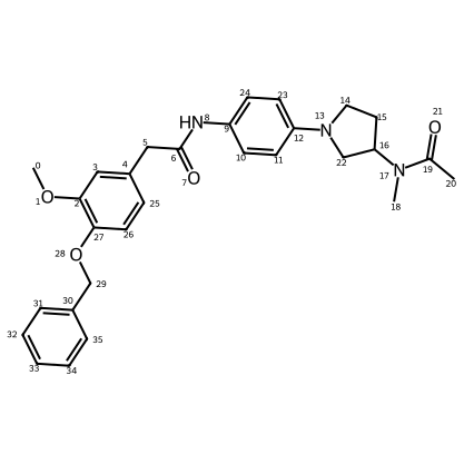 COc1cc(CC(=O)Nc2ccc(N3CCC(N(C)C(C)=O)C3)cc2)ccc1OCc1ccccc1